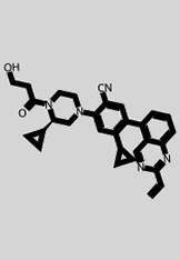 C=Cc1ncc2c(-c3cc(C#N)c(N4CCN(C(=O)CCO)[C@H](C5CC5)C4)cc3C3CC3)cccc2n1